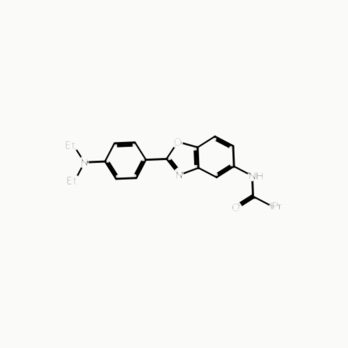 CCN(CC)c1ccc(-c2nc3cc(NC(=O)C(C)C)ccc3o2)cc1